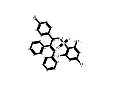 Cc1cc(C)c(S(=O)(=O)NC(/C(=C/c2ccccc2)c2ccccc2)c2ccc(Cl)cc2)c(C)c1